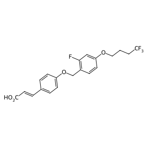 O=C(O)C=Cc1ccc(OCc2ccc(OCCCC(F)(F)F)cc2F)cc1